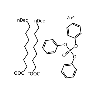 CCCCCCCCCCCCCCCCCC(=O)[O-].CCCCCCCCCCCCCCCCCC(=O)[O-].O=P(Oc1ccccc1)(Oc1ccccc1)Oc1ccccc1.[Zn+2]